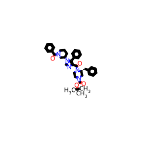 CC(C)(C)OC(=O)N1CCN(C(=O)c2ncn(C3CCCN(C(=O)c4ccccc4)C3)c2-c2ccccc2)[C@H](Cc2ccccc2)C1